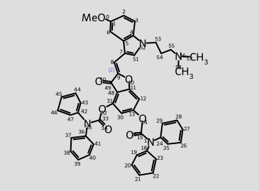 COc1ccc2c(c1)c(/C=C1\Oc3cc(OC(=O)N(c4ccccc4)c4ccccc4)cc(OC(=O)N(c4ccccc4)c4ccccc4)c3C1=O)cn2CCCN(C)C